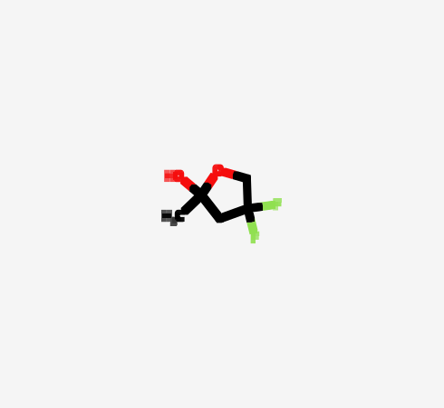 CC1(O)CC(F)(F)CO1